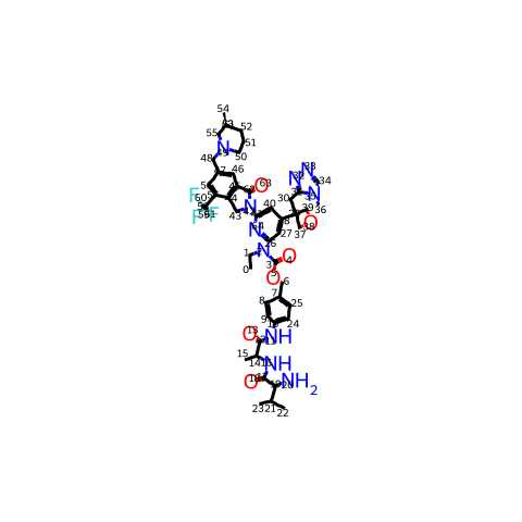 CCN(C(=O)OCc1ccc(NC(=O)C(C)NC(=O)C(N)C(C)C)cc1)c1cc(C2(Cc3nncn3C)COC2)cc(N2Cc3c(cc(CN4CCC[C@H](C)C4)cc3C(F)(F)F)C2=O)n1